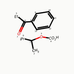 CC(C)C(C)OC(=O)O.CCC(=O)c1ccccc1